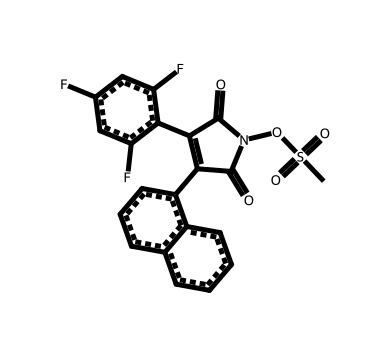 CS(=O)(=O)ON1C(=O)C(c2c(F)cc(F)cc2F)=C(c2cccc3ccccc23)C1=O